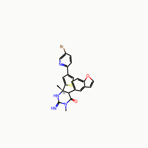 CN1C(=N)N[C@](C)(c2cc(-c3ccc(Br)cn3)cs2)C(c2ccc3occc3c2)C1=O